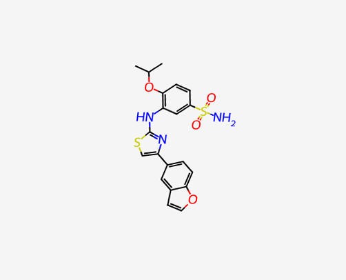 CC(C)Oc1ccc(S(N)(=O)=O)cc1Nc1nc(-c2ccc3occc3c2)cs1